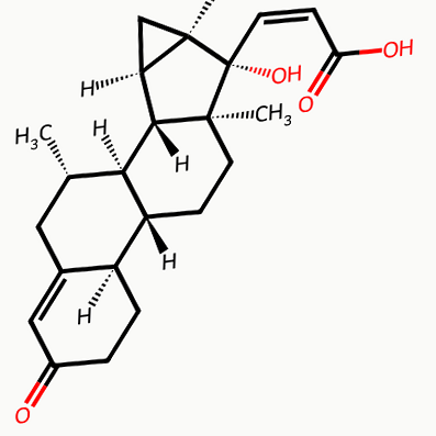 C[C@H]1CC2=CC(=O)CC[C@@H]2[C@H]2CC[C@@]3(C)[C@@H]([C@H]4C[C@H]4[C@@]3(O)/C=C\C(=O)O)[C@@H]21